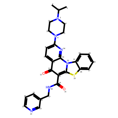 CC(C)N1CCN(c2ccc3c(=O)c(C(=O)NCc4cccnc4)c4sc5ccccc5n4c3n2)CC1